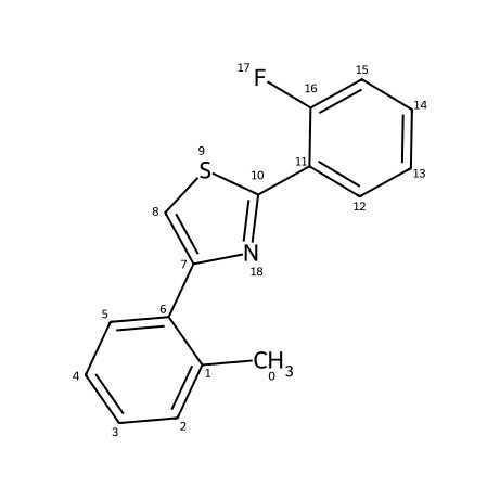 Cc1ccccc1-c1csc(-c2ccccc2F)n1